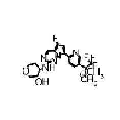 COC(C)(c1ccc(-c2cc(F)c3cnc(N[C@@H]4CCOC[C@H]4O)nn23)nc1)C(F)(F)F